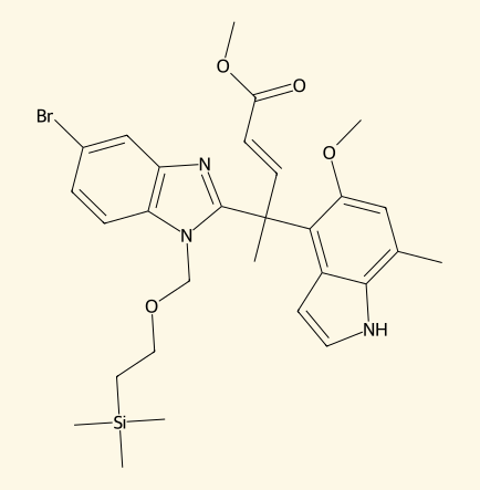 COC(=O)C=CC(C)(c1c(OC)cc(C)c2[nH]ccc12)c1nc2cc(Br)ccc2n1COCC[Si](C)(C)C